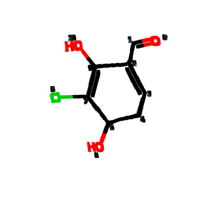 O=CC1=CCC(O)C(Cl)=C1O